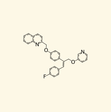 Fc1ccc(/C=C(/COc2cccnc2)c2ccc(OCc3ccc4ccccc4n3)cc2)cc1